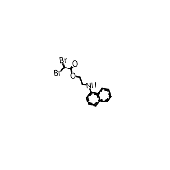 O=C(OCCNc1cccc2ccccc12)C(Br)Br